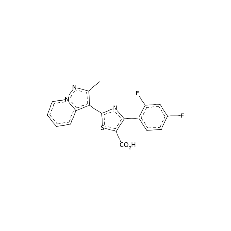 Cc1nn2ccccc2c1-c1nc(-c2ccc(F)cc2F)c(C(=O)O)s1